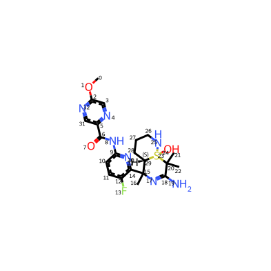 COc1cnc(C(=O)Nc2ccc(F)c(C3(C)N=C(N)C(C)(C)S4(O)NCCC[C@@H]34)n2)cn1